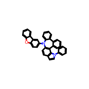 c1ccc(-n2ccc3ccc4c(c32)-c2ccccc2-c2ccccc2N4c2ccc3oc4ccccc4c3c2)cc1